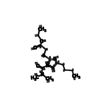 CCCCc1nc(SCC(=O)OCC)n(C(=O)N(C)C)n1